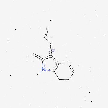 C=C/C=c1/c2c(n(C)c1=C)CCC=C2